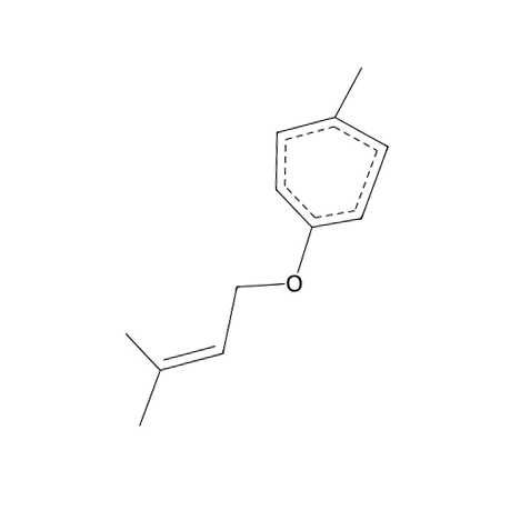 CC(C)=CCOc1ccc(C)cc1